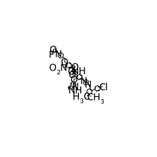 CC1(C)CCC(CN2CCN(c3ccc(C(=O)NS(=O)(=O)c4ccc(OCC5CCN(C6COC6F)CC5)c([N+](=O)[O-])c4)c(Oc4cnc5[nH]ccc5c4)c3)CC2)=C(c2ccc(Cl)cc2)C1